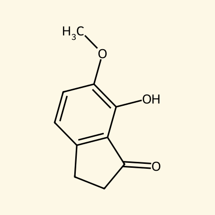 COc1ccc2c(c1O)C(=O)CC2